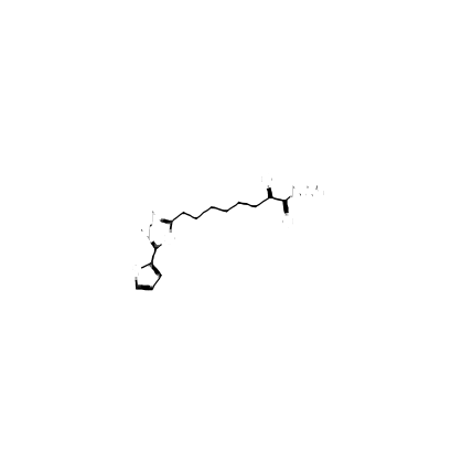 CNC(=O)C(=O)CCCCCCc1nnc(-c2cccs2)o1